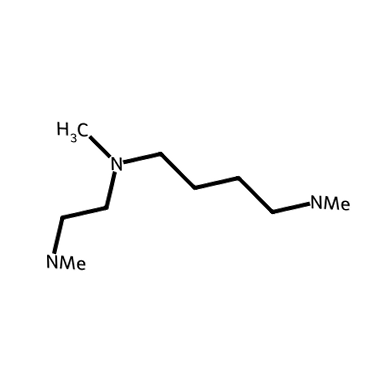 CNCCCCN(C)CCNC